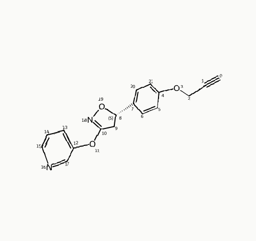 C#CCOc1ccc([C@@H]2CC(Oc3cccnc3)=NO2)cc1